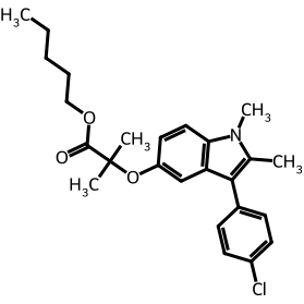 CCCCCOC(=O)C(C)(C)Oc1ccc2c(c1)c(-c1ccc(Cl)cc1)c(C)n2C